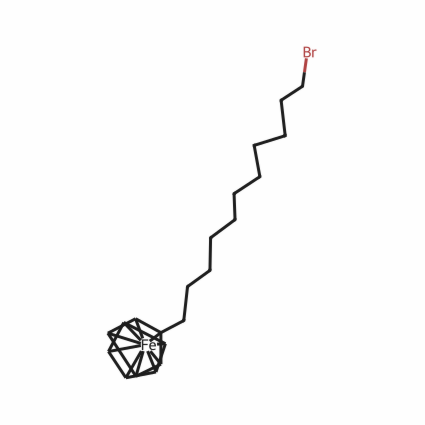 BrCCCCCCCCCCC[C]12[CH]3[CH]4[CH]5[CH]1[Fe]45321678[CH]2[CH]1[CH]6[CH]7[CH]28